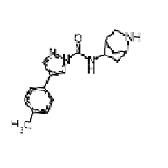 Cc1ccc(-c2cnn(C(=O)NC3CC4CC3CN4)c2)cc1